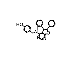 Oc1ccc(CNc2ncnc3oc(-c4ccccc4)c(-c4ccccc4)c23)cc1